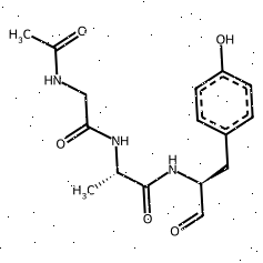 CC(=O)NCC(=O)N[C@@H](C)C(=O)N[C@H](C=O)Cc1ccc(O)cc1